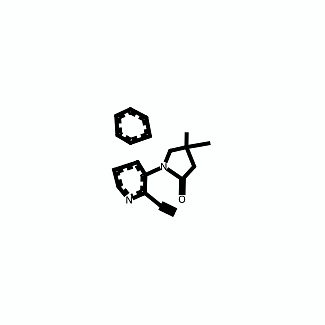 C#Cc1ncccc1N1CC(C)(C)CC1=O.c1ccccc1